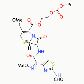 COCC1=C(C(=O)OCCOC(=O)OC(C)C)N2C(=O)C(NC(=O)/C(=N\OC)c3csc(NC=O)n3)[C@@H]2SC1